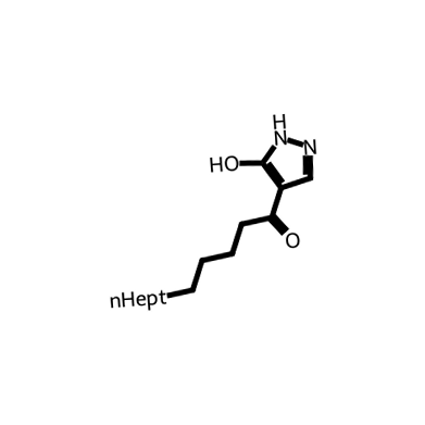 CCCCCCCCCCCC(=O)c1cn[nH]c1O